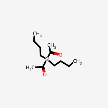 CCCC[Si](CCCC)(C(C)=O)C(C)=O